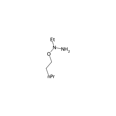 CCCCCON(N)CC